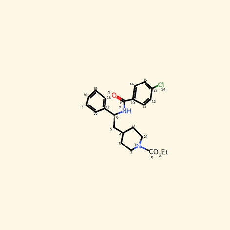 CCOC(=O)N1CCC(C[C@H](NC(=O)c2ccc(Cl)cc2)c2ccccc2)CC1